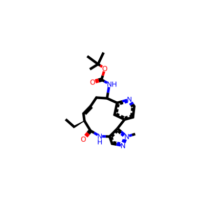 CC[C@H]1/C=C/CC(NC(=O)OC(C)(C)C)c2cc(ccn2)-c2c(cnn2C)NC1=O